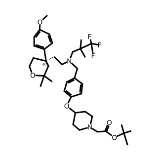 COc1ccc([C@]2(CCN(Cc3ccc(OC4CCN(CC(=O)OC(C)(C)C)CC4)cc3)CC(C)(C)C(F)(F)F)CCOC(C)(C)C2)cc1